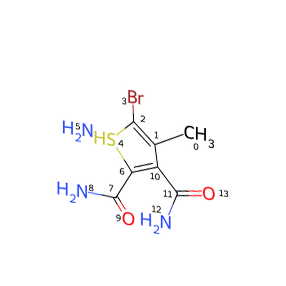 CC1=C(Br)[SH](N)C(C(N)=O)=C1C(N)=O